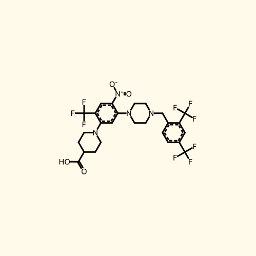 O=C(O)C1CCN(c2cc(N3CCN(Cc4ccc(C(F)(F)F)cc4C(F)(F)F)CC3)c([N+](=O)[O-])cc2C(F)(F)F)CC1